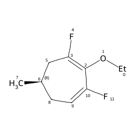 CCOC1=C(F)C[C@H](C)CC=C1F